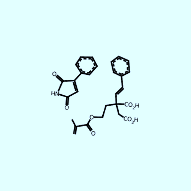 C=C(C)C(=O)OCCC(C=Cc1ccccc1)(CC(=O)O)C(=O)O.O=C1C=C(c2ccccc2)C(=O)N1